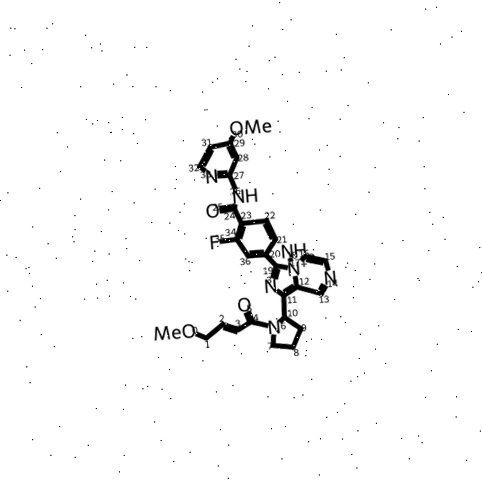 COC/C=C/C(=O)N1CCCC1C1=C2C=NC=C[N+]2(N)C(c2ccc(C(=O)Nc3cc(OC)ccn3)c(F)c2)=N1